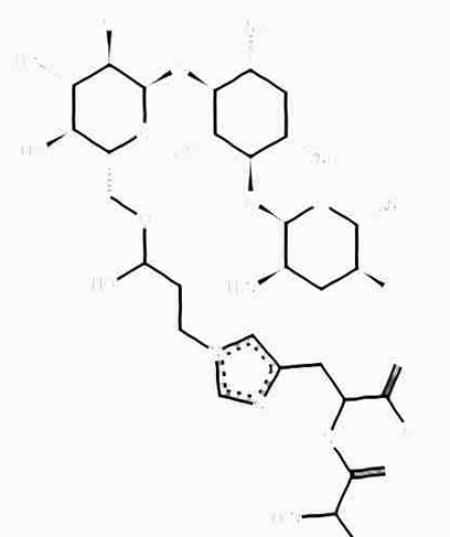 CC(N)C(=O)NC(Cc1cn(CCC(O)OC[C@H]2O[C@H](O[C@@H]3[C@@H](O)[C@H](O[C@H]4O[C@H](N)[C@@H](O)C[C@H]4N)[C@@H](N)C[C@H]3N)[C@H](O)[C@@H](N)[C@@H]2O)cn1)C(=O)O